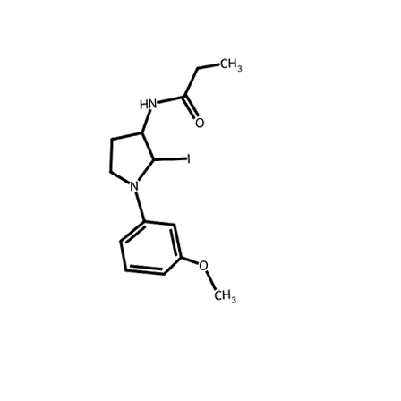 CCC(=O)NC1CCN(c2cccc(OC)c2)C1I